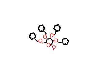 CO[C@@H]1OC(COCc2ccccc2)[C@@H](OCc2ccccc2)C(OCc2ccccc2)C1OCc1ccccc1